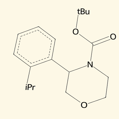 CC(C)c1ccccc1C1COCCN1C(=O)OC(C)(C)C